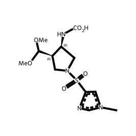 COC(OC)[C@@H]1CN(S(=O)(=O)c2cn(C)cn2)C[C@@H]1NC(=O)O